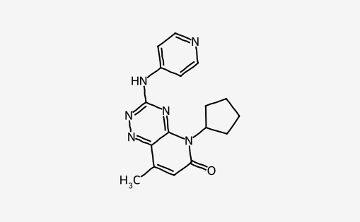 Cc1cc(=O)n(C2CCCC2)c2nc(Nc3ccncc3)nnc12